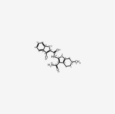 CN1CCc2c(sc(NC(=O)c3sc4ccccc4c3Cl)c2C(N)=O)C1